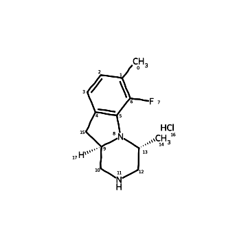 Cc1ccc2c(c1F)N1[C@@H](CNC[C@H]1C)C2.Cl